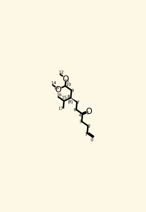 C=CCCC(=O)CC[C@H](CC(OC)OC)C(C)C